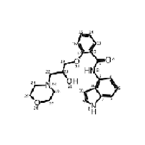 O=C(Nc1cccc2[nH]ccc12)c1ccccc1OCC(O)CN1CCOCC1